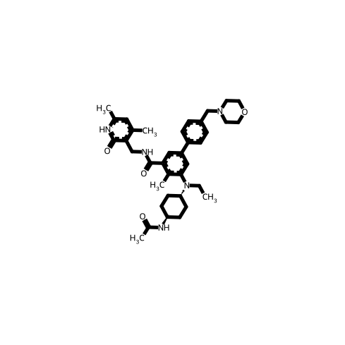 CCN(c1cc(-c2ccc(CN3CCOCC3)cc2)cc(C(=O)NCc2c(C)cc(C)[nH]c2=O)c1C)[C@H]1CC[C@H](NC(C)=O)CC1